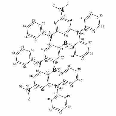 CN(C)c1cc2c3c(c1)N(c1ccccc1)c1cc4c(cc1B3c1ccccc1N2c1ccccc1)B1c2ccccc2N(c2ccccc2)c2cc(N(C)C)cc(c21)N4c1ccccc1